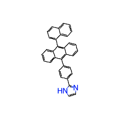 c1ccc2c(-c3c4ccccc4c(-c4ccc(-c5ncc[nH]5)cc4)c4ccccc34)cccc2c1